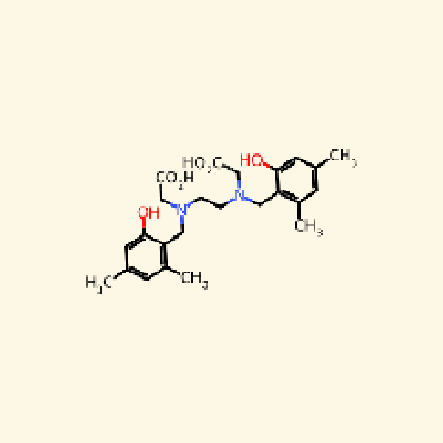 Cc1cc(C)c(CN(CCN(CC(=O)O)Cc2c(C)cc(C)cc2O)CC(=O)O)c(O)c1